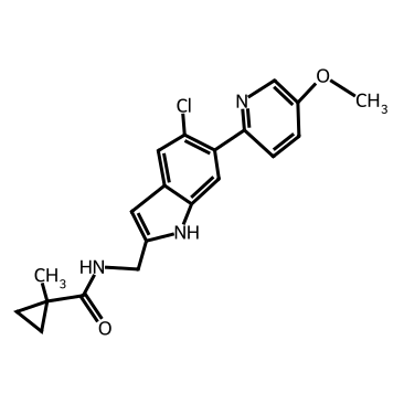 COc1ccc(-c2cc3[nH]c(CNC(=O)C4(C)CC4)cc3cc2Cl)nc1